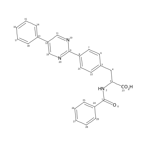 O=C(NC(Cc1ccc(-c2ncc(-c3ccccc3)cn2)cc1)C(=O)O)c1ccccc1